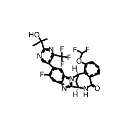 CC(C)(O)c1ncc(-c2cc3c(cc2F)nc2n3[C@@H]3C[C@H]2NC(=O)c2cccc(OC(F)F)c23)c(C(F)(F)F)n1